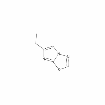 CCc1cn2ncsc2n1